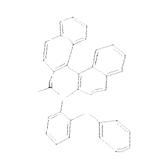 O=C(O)N(c1ccccc1Sc1ccccc1)c1ccc2ccccc2c1-c1c(O)ccc2ccccc12